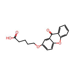 O=C(O)CCCCOc1ccc2oc3ccccc3c(=O)c2c1